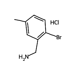 Cc1ccc(Br)c(CN)c1.Cl